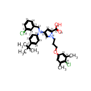 Cc1cc(OCCCn2cc(N(Cc3cccc(Cl)c3)c3ccc(C(C)(C)C)cc3)cc2C(=O)O)cc(C)c1Cl